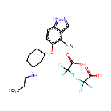 Cc1c(O[C@H]2CCC[C@@H](NCCC(=O)O)C2)ccc2[nH]ncc12.O=C(O)C(F)(F)F.O=C(O)C(F)(F)F